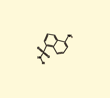 CCNS(=O)(=O)c1cccc2c(N)cccc12